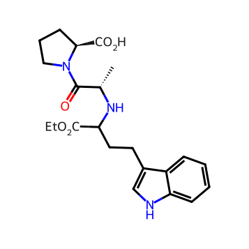 CCOC(=O)C(CCc1c[nH]c2ccccc12)N[C@@H](C)C(=O)N1CCC[C@H]1C(=O)O